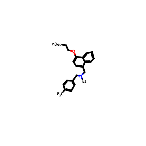 CCCCCCCCCCCCOc1ccc(CN(CC)Cc2ccc(C(F)(F)F)cc2)c2ccccc12